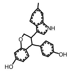 Cc1ccc2c(C3COc4cc(O)ccc4C3c3ccc(O)cc3)c[nH]c2c1